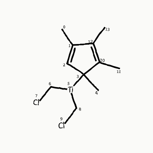 CC1=C[C](C)([Ti]([CH2]Cl)[CH2]Cl)C(C)=C1C